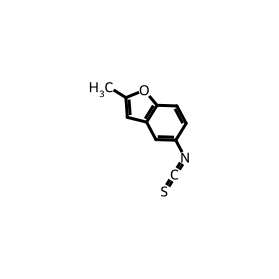 Cc1cc2cc(N=C=S)ccc2o1